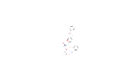 COc1ccccc1CNC(=O)[C@@H]1OCO[C@H]1C(=O)N[C@@H](Cc1ccc(NC(=O)c2ccccc2)cc1)C(=O)O